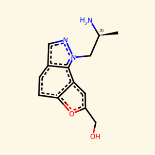 C[C@H](N)Cn1ncc2ccc3oc(CO)cc3c21